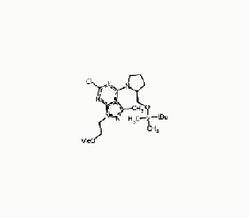 COCCn1nc(C)c2c(N3CCCC3CO[Si](C)(C)C(C)(C)C)nc(Cl)nc21